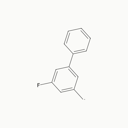 [CH2]c1cc(F)cc(-c2ccccc2)c1